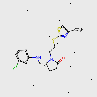 O=C(O)c1csc(SCCN2C(=O)CC[C@@H]2CNc2cccc(Cl)c2)n1